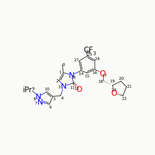 Cc1cn(Cc2cnn(C(C)C)c2)c(=O)n1-c1cc(OC[C@@H]2CCCO2)cc(C(F)(F)F)c1